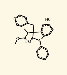 COC(=O)C(C)C1(Cc2ccncc2)C(=O)N(c2ccccc2)c2ccccc21.Cl